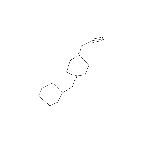 N#CCN1CCN(CC2CCCCC2)CC1